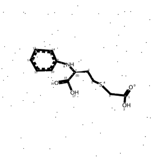 O=C(O)CSCC[C@H](Nc1ccccc1)C(=O)O